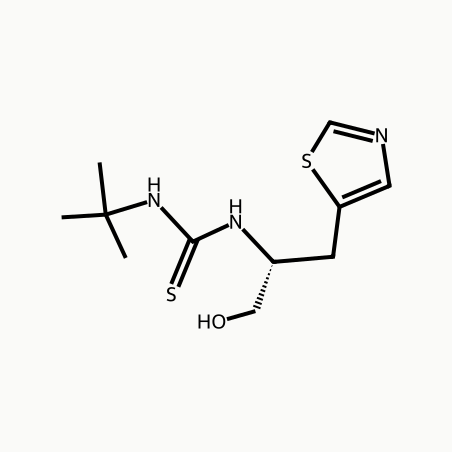 CC(C)(C)NC(=S)N[C@@H](CO)Cc1cncs1